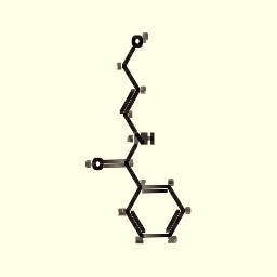 [O]CC=CNC(=O)c1ccccc1